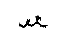 CCCC(CCC)CNCI